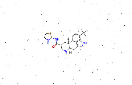 CN1CC(C(=O)NC2NCCS2)C[C@@H]2c3ccc(C(C)(C)C)c4[nH]cc(c34)C[C@H]21